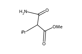 COC(=O)C(C(N)=O)C(C)C